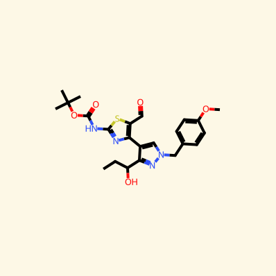 CCC(O)c1nn(Cc2ccc(OC)cc2)cc1-c1nc(NC(=O)OC(C)(C)C)sc1C=O